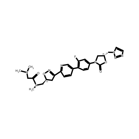 CN(C)CC(=O)N(C)C[C@@H]1CC(c2ccc(-c3ccc(N4C[C@H](Cn5ccnn5)OC4=O)cc3F)cn2)=NO1